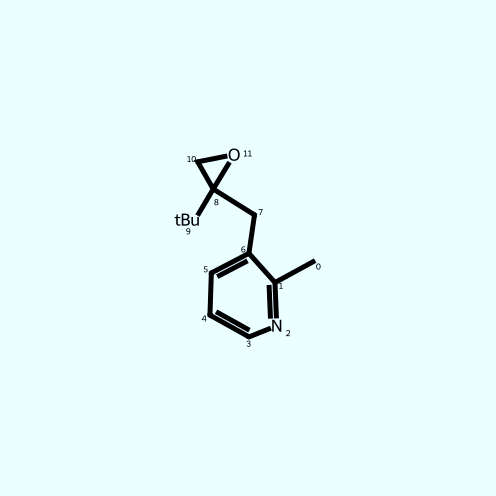 Cc1ncccc1CC1(C(C)(C)C)CO1